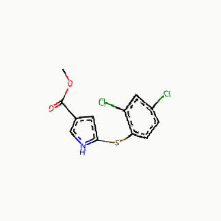 COC(=O)c1c[nH]c(Sc2ccc(Cl)cc2Cl)c1